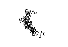 COc1cccc(CC(=O)Nc2ccc3ccn(Cc4ccc(C(=O)O)cc4)c(=O)c3c2)c1